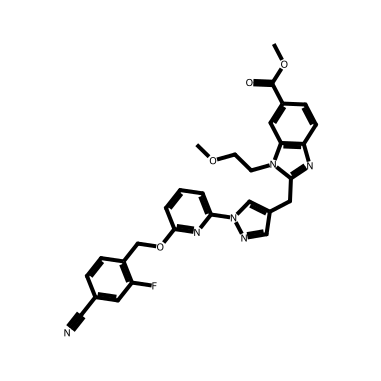 COCCn1c(Cc2cnn(-c3cccc(OCc4ccc(C#N)cc4F)n3)c2)nc2ccc(C(=O)OC)cc21